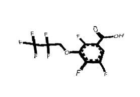 O=C(O)c1cc(F)c(F)c(OCC(F)(F)C(F)(F)F)c1F